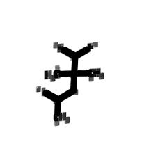 CC(I)CC(C)(C)C(F)F